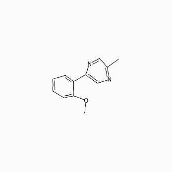 COc1ccccc1-c1cnc(C)cn1